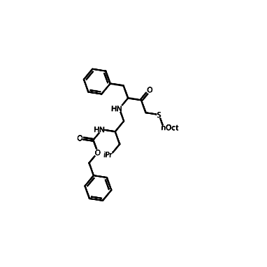 CCCCCCCCSCC(=O)C(Cc1ccccc1)NCC(CC(C)C)NC(=O)OCc1ccccc1